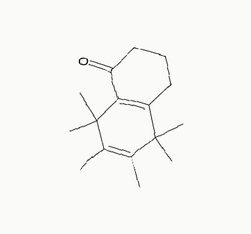 CC1=C(C)C(C)(C)C2=C(CCCC2=O)C1(C)C